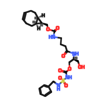 O=C(CCCNC(=O)OC[C@@H]1[C@@H]2CCC#CCC[C@@H]21)N[C@@H](CO)COC(=O)NS(=O)(=O)NCc1ccccc1